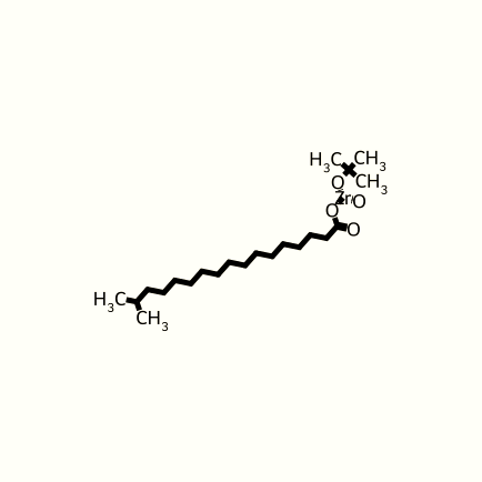 CC(C)CCCCCCCCCCCCCCC(=O)[O][Zr](=[O])[O]C(C)(C)C